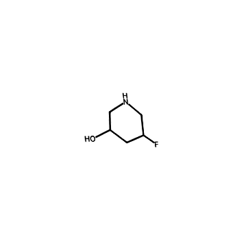 OC1CNCC(F)C1